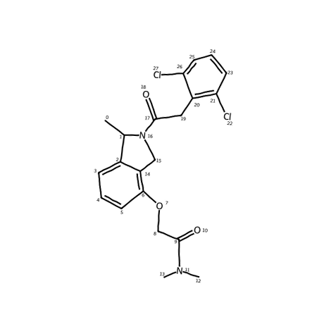 CC1c2cccc(OCC(=O)N(C)C)c2CN1C(=O)Cc1c(Cl)cccc1Cl